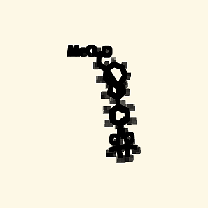 COC(=O)CC12CCCC3CC(c4ccc(B5OC(C)(C)C(C)(C)O5)cc4)(CC3C1)C2